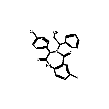 O=C1Nc2ccc(I)cc2C(=O)N(C(CO)c2ccccc2)C1c1ccc(Cl)cc1